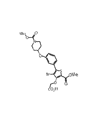 CCOC(=O)COc1c(C(=O)OC)sc(-c2cccc(OC3CCN(C(=O)OC(C)(C)C)CC3)c2)c1Br